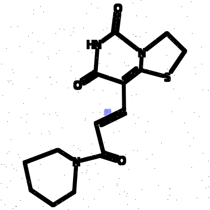 O=C(/C=C/c1c2n(c(=O)[nH]c1=O)CCS2)N1CCCCC1